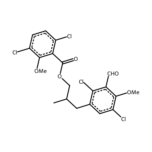 COc1c(Cl)cc(CC(C)COC(=O)c2c(Cl)ccc(Cl)c2OC)c(Cl)c1C=O